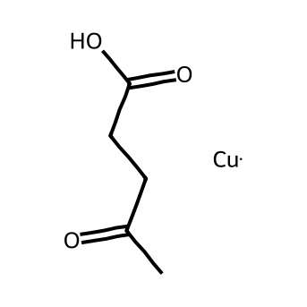 CC(=O)CCC(=O)O.[Cu]